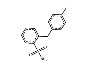 Cc1ccc(Cc2ccccc2S(N)(=O)=O)cc1